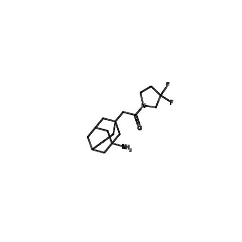 NC12CC3CC(C1)CC(CC(=O)N1CCC(F)(F)C1)(C3)C2